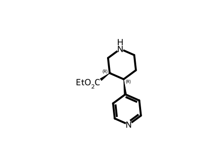 CCOC(=O)[C@H]1CNCC[C@H]1c1ccncc1